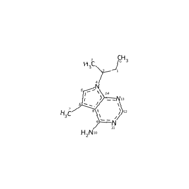 CCC(C)n1cc(C)c2c(N)ncnc21